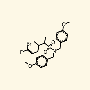 COc1ccc(CN(Cc2ccc(OC)cc2)S(=O)(=O)C(C)C(C)CC=C(F)Br)cc1